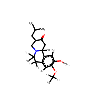 [2H]c1c(OC)c(OC([2H])([2H])[2H])c([2H])c2c1C1([2H])CC(=O)C(CC(C)C)CN1C([2H])([2H])C2([2H])[2H]